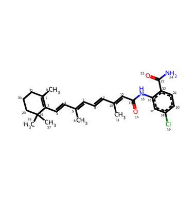 CC1=C(/C=C/C(C)=C/C=C/C(C)=C/C(=O)Nc2cc(Cl)ccc2C(N)=O)C(C)(C)CCC1